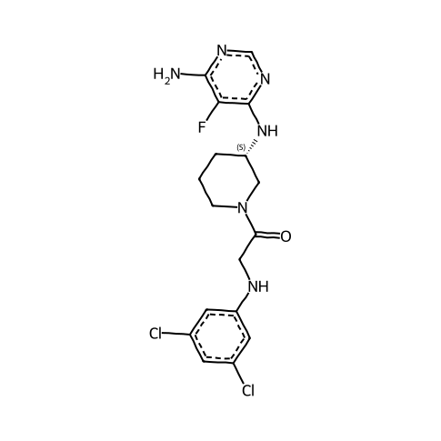 Nc1ncnc(N[C@H]2CCCN(C(=O)CNc3cc(Cl)cc(Cl)c3)C2)c1F